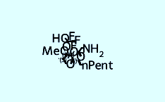 CCCCCC=C[C@@H]1OC[C@H](C)[C@H](OC)[C@H]1OC(=O)CN.O=C(O)C(F)(F)F